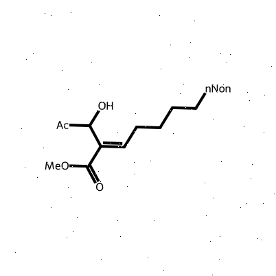 CCCCCCCCCCCCCC=C(C(=O)OC)C(O)C(C)=O